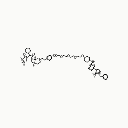 CN[C@@H](C)C(=O)NC(C(=O)N1CC[C@@H]2CCN(CCc3ccc(OCCOCCOCCOCCOC4CCC(Nc5nccc(-c6cnn(Cc7ccccc7)c6N(C)C)n5)CC4)cc3)C[C@@H]21)C1CCCCC1